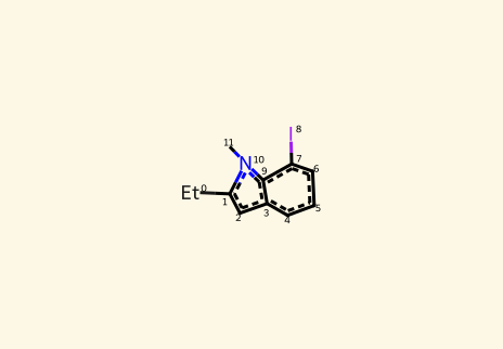 CCc1cc2cccc(I)c2n1C